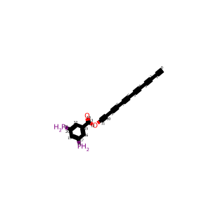 C#CC#CC#CC#CC#CC#COC(=O)c1cc(P)cc(P)c1